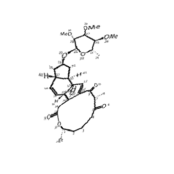 CC[C@H]1CCCC(=O)[C@@H](C)C(=O)C2=C[C@@H]3[C@@H](C=C[C@@H]4C[C@@H](O[C@@H]5O[C@@H](C)[C@H](OC)C(OC)[C@H]5OC)C[C@@H]34)[C@@H]2CC(=O)O1